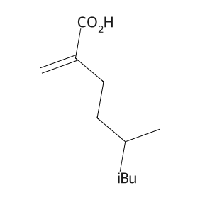 C=C(CCC(C)C(C)CC)C(=O)O